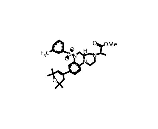 COC(=O)C(C)N1CCN2c3ccc(C4=CC(C)(C)OC(C)(C)C4)cc3N(S(=O)(=O)c3cccc(C(F)(F)F)c3)C[C@@H]2C1